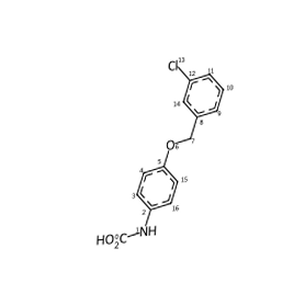 O=C(O)Nc1ccc(OCc2cccc(Cl)c2)cc1